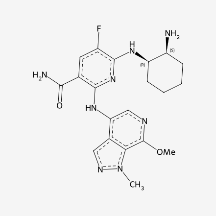 COc1ncc(Nc2nc(N[C@@H]3CCCC[C@@H]3N)c(F)cc2C(N)=O)c2cnn(C)c12